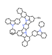 CC(C)(C)c1cc2c3nc4c(cc3n3c5c(-c6ccc7c(c6)c6ccccc6n7-c6ccccc6)cc6ccccc6c5c(c1)c23)c1cc(C(C)(C)C)cc2c3cc5ccccc5c(-c5ccc6c(c5)c5ccccc5n6-c5ccccc5)c3n4c12